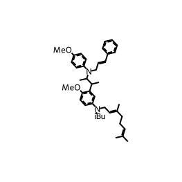 CCC(C)N(C/C=C(\C)CCC=C(C)C)c1ccc(OC)c(C(C)C(C)N(C/C=C/c2ccccc2)c2ccc(OC)cc2)c1